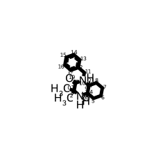 CC1(C)N[C@H]2CCCC[C@@H]2N(Cc2ccccc2)C1=O